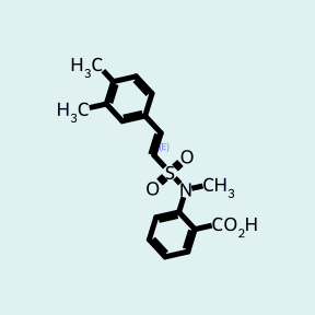 Cc1ccc(/C=C/S(=O)(=O)N(C)c2ccccc2C(=O)O)cc1C